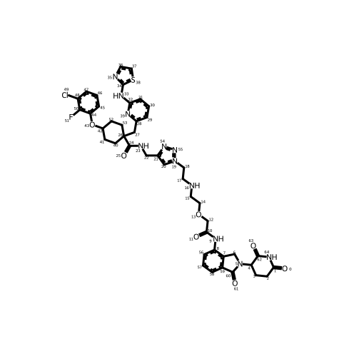 O=C1CCC(N2Cc3c(NC(=O)COCCNCCn4cc(CNC(=O)C5(Cc6cccc(Nc7nccs7)n6)CCC(Oc6cccc(Cl)c6F)CC5)nn4)cccc3C2=O)C(=O)N1